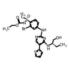 CCOC(=O)N=S(C)(=O)c1ccc(Nc2ncc(-c3cccs3)c(N[C@H](CC)CO)n2)cc1Br